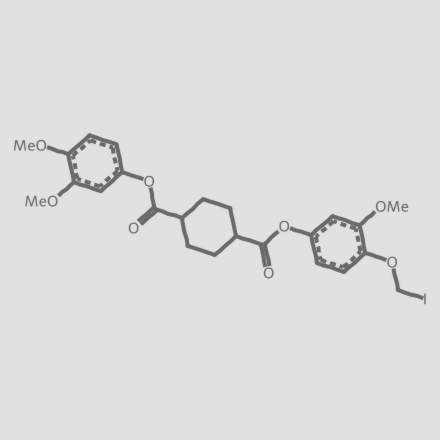 COc1ccc(OC(=O)C2CCC(C(=O)Oc3ccc(OCI)c(OC)c3)CC2)cc1OC